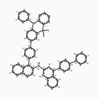 CC1(C)c2ccccc2N(c2ccccc2)c2ccc(-c3ccc(-c4c(Nc5nc(-c6ccc(-c7ccccc7)cc6)c6ccccc6n5)ccc5ccccc45)cc3)cc21